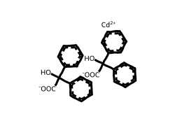 O=C([O-])C(O)(c1ccccc1)c1ccccc1.O=C([O-])C(O)(c1ccccc1)c1ccccc1.[Cd+2]